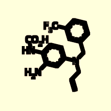 C=CCN(Cc1cccc(C(F)(F)F)c1)c1ccc(NC(=O)O)c(N)c1